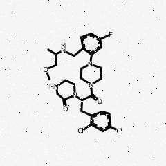 COCC(C)NCc1ccc(F)cc1N1CCN(C(=O)C(Cc2ccc(Cl)cc2Cl)N2CCNCC2=O)CC1